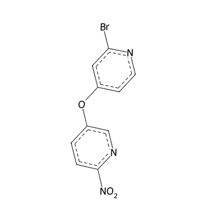 O=[N+]([O-])c1ccc(Oc2ccnc(Br)c2)cn1